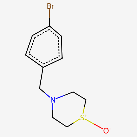 [O-][S+]1CCN(Cc2ccc(Br)cc2)CC1